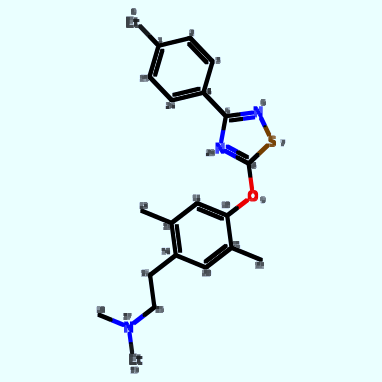 CCc1ccc(-c2nsc(Oc3cc(C)c(CCN(C)CC)cc3C)n2)cc1